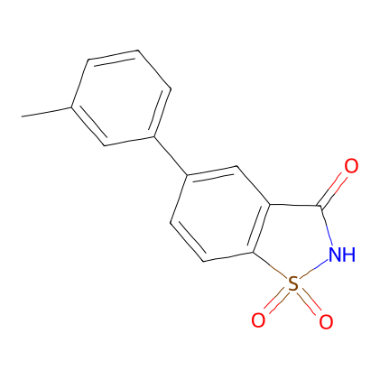 Cc1cccc(-c2ccc3c(c2)C(=O)NS3(=O)=O)c1